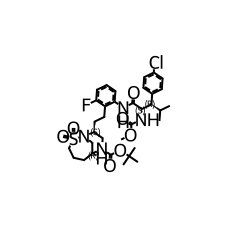 COC(=O)N[C@H](C(=O)Nc1cccc(F)c1CC[C@H]1CN(C(=O)OC(C)(C)C)[C@@H]2CCCS(=O)(=O)N1C2)[C@@H](c1ccc(Cl)cc1)C(C)C